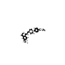 COc1ccc(N2CCN(CCC3OCCc4cc(N)ccc43)CC2)cc1